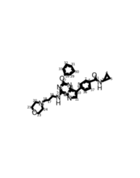 O=C(NC1CC1)c1ccc(-c2cnn3c(NCCCN4CCOCC4)nc(Oc4ccccc4)nc23)cc1